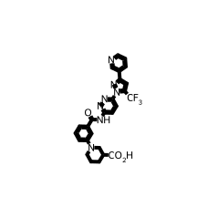 O=C(Nc1ccc(-n2nc(-c3cccnc3)cc2C(F)(F)F)nn1)c1cccc(N2CCCC(C(=O)O)C2)c1